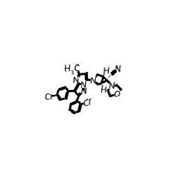 Cc1cc(N2C[C@@H]3[C@H](C2)[C@]3(C#N)N2CCOCC2)n2nc(-c3ccccc3Cl)c(-c3ccc(Cl)cc3)c2n1